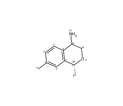 Cc1ccc2c(c1)[C@@H](C)OCC2N